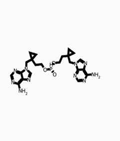 Nc1ncnc2c1ncn2CC1(CCO[PH](=O)OCCC2(Cn3cnc4c(N)ncnc43)CC2)CC1